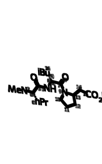 CCC[C@H](NC)C(=O)N[C@H](C(=O)N1CCCC1CC(=O)O)[C@@H](C)CC